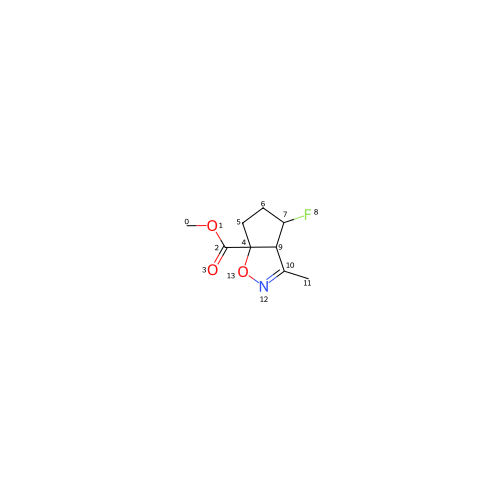 COC(=O)C12CCC(F)C1C(C)=NO2